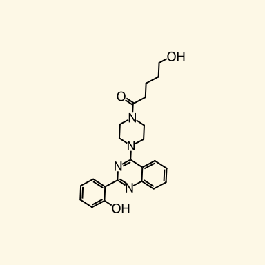 O=C(CCCCO)N1CCN(c2nc(-c3ccccc3O)nc3ccccc23)CC1